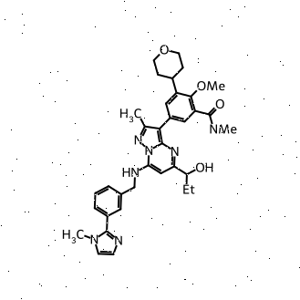 CCC(O)c1cc(NCc2cccc(-c3nccn3C)c2)n2nc(C)c(-c3cc(C(=O)NC)c(OC)c(C4CCOCC4)c3)c2n1